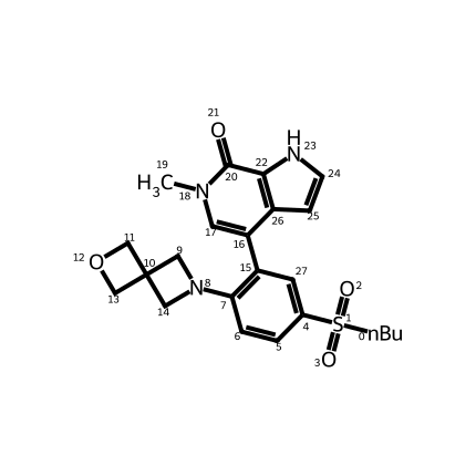 CCCCS(=O)(=O)c1ccc(N2CC3(COC3)C2)c(-c2cn(C)c(=O)c3[nH]ccc23)c1